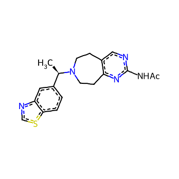 CC(=O)Nc1ncc2c(n1)CCN([C@H](C)c1ccc3scnc3c1)CC2